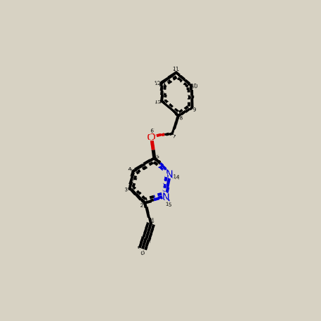 C#Cc1ccc(OCc2ccccc2)nn1